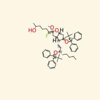 CCCCC[C@@H](/C=C/[C@@H]1[C@H]2C[C@@](OC)([C@@H](F)CCCC(C)O)O[C@H]2C[C@H]1O[Si](c1ccccc1)(c1ccccc1)C(C)(C)C)O[Si](c1ccccc1)(c1ccccc1)C(C)(C)C